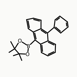 CC1(C)OB(c2c3ccccc3c(-c3ccccc3)c3ccccc23)OC1(C)C